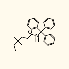 CCC(C)(C)CCC(=O)NC(c1ccccc1)(c1ccccc1)c1ccccc1